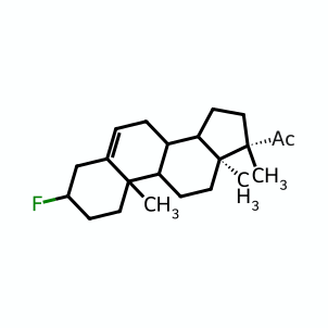 CC(=O)[C@@]1(C)CCC2C3CC=C4CC(F)CCC4(C)C3CC[C@@]21C